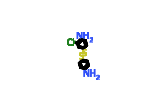 Nc1ccc(SSc2ccc(N)c(Cl)c2)cc1